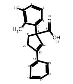 Cc1c(F)cccc1C1(C(=O)O)C=C(c2ccccc2)CC1